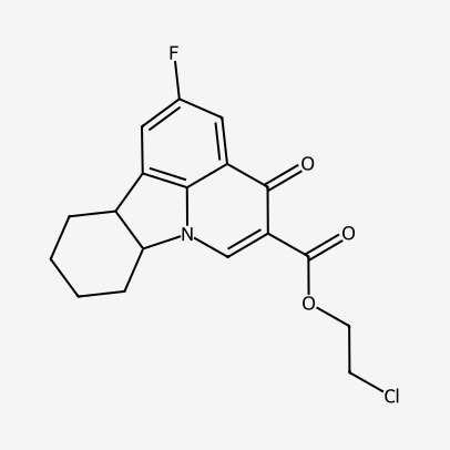 O=C(OCCCl)c1cn2c3c(cc(F)cc3c1=O)C1CCCCC12